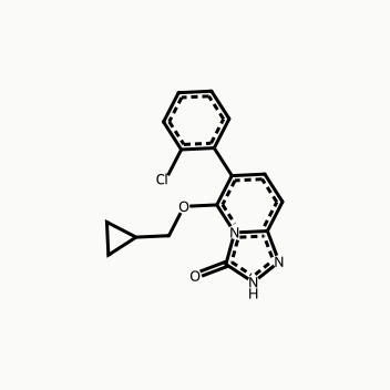 O=c1[nH]nc2ccc(-c3ccccc3Cl)c(OCC3CC3)n12